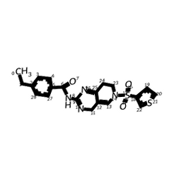 CCc1ccc(C(=O)NC2=NCC3=CN(S(=O)(=O)c4ccsc4)CCC3=N2)cc1